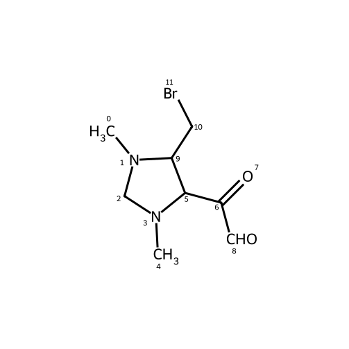 CN1CN(C)C(C(=O)C=O)C1CBr